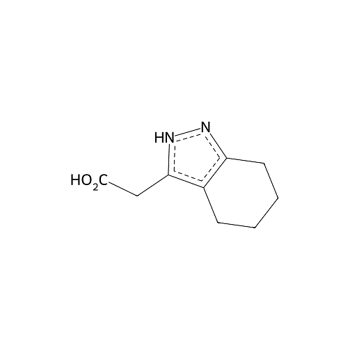 O=C(O)Cc1[nH]nc2c1CCCC2